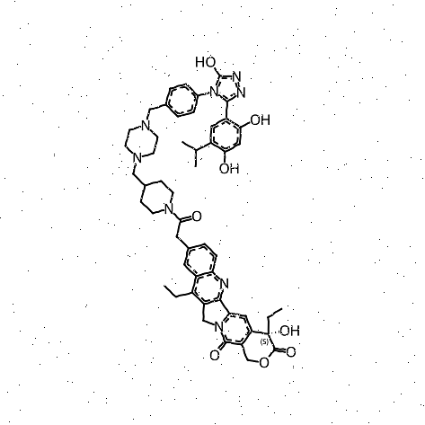 CCc1c2c(nc3ccc(CC(=O)N4CCC(CN5CCN(Cc6ccc(-n7c(O)nnc7-c7cc(C(C)C)c(O)cc7O)cc6)CC5)CC4)cc13)-c1cc3c(c(=O)n1C2)COC(=O)[C@]3(O)CC